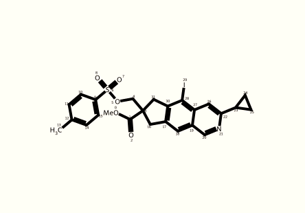 COC(=O)C1(COS(=O)(=O)c2ccc(C)cc2)Cc2cc3cnc(C4CC4)cc3c(I)c2C1